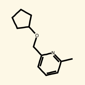 Cc1cccc(COC2CCCC2)n1